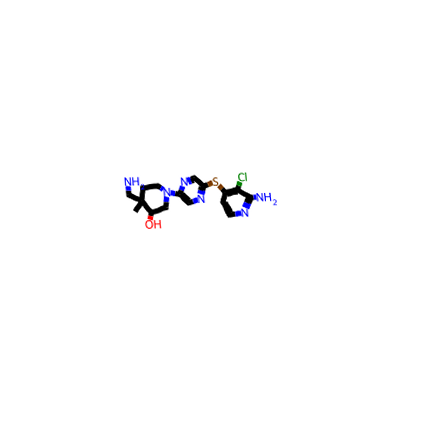 CC1(CN)CCN(c2cnc(Sc3ccnc(N)c3Cl)cn2)CC1O